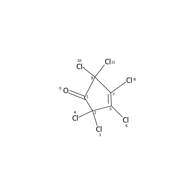 O=C1C(Cl)(Cl)C(Cl)=C(Cl)C1(Cl)Cl